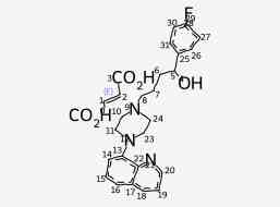 O=C(O)/C=C/C(=O)O.OC(CCCN1CCN(c2cccc3cccnc23)CC1)c1ccc(F)cc1